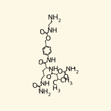 CC(C)C(OC(N)=O)C(=O)NC(CCCNC(N)=O)C(=O)Nc1ccc(COC(=O)NCCN)cc1